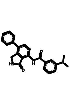 CN(C)c1cccc(C(=O)Nc2ccc(-c3ccccc3)c3c2C(=O)NC3)c1